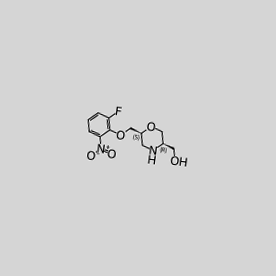 O=[N+]([O-])c1cccc(F)c1OC[C@@H]1CN[C@H](CO)CO1